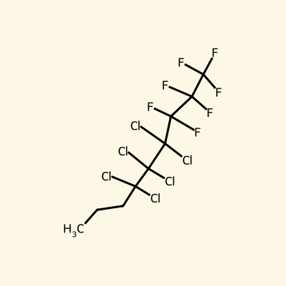 CCCC(Cl)(Cl)C(Cl)(Cl)C(Cl)(Cl)C(F)(F)C(F)(F)C(F)(F)F